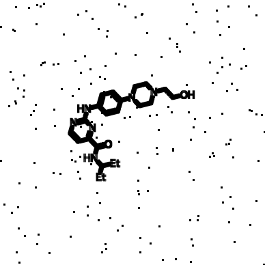 CCC(CC)NC(=O)c1ccnc(Nc2ccc(N3CCN(CCO)CC3)cc2)n1